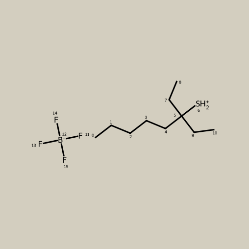 CCCCCC([SH2+])(CC)CC.F[B-](F)(F)F